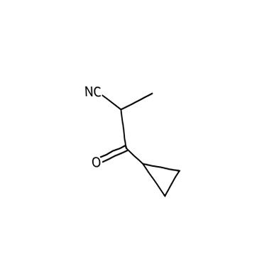 CC(C#N)C(=O)C1CC1